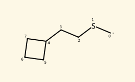 [CH2]SCCC1CCC1